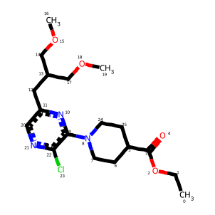 CCOC(=O)C1CCN(c2nc(CC(COC)COC)cnc2Cl)CC1